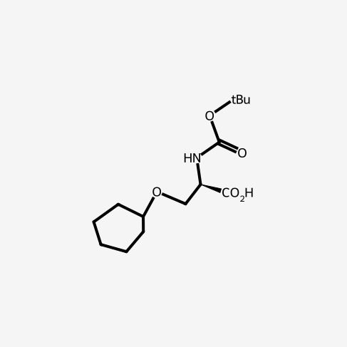 CC(C)(C)OC(=O)N[C@H](COC1CCCCC1)C(=O)O